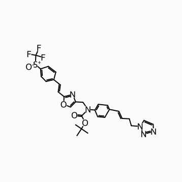 CC(C)(C)OC(=O)N(Cc1coc(C=Cc2ccc([S+]([O-])C(F)(F)F)cc2)n1)c1ccc(C=CCCn2ccnn2)cc1